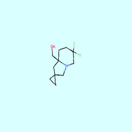 OCC12CCC(F)(F)CN1CC1(CC1)C2